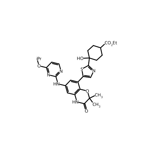 CCOC(=O)C1CCC(O)(c2ncc(-c3cc(Nc4nccc(OC(C)C)n4)cc4c3OC(C)(C)C(=O)N4)s2)CC1